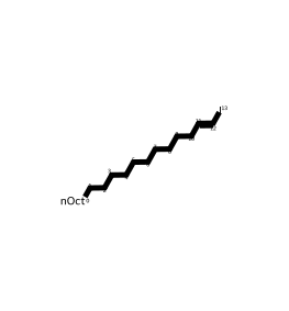 CCCCCCCCCCCCCCCCCCC=CI